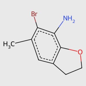 Cc1cc2c(c(N)c1Br)OCC2